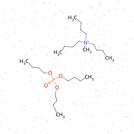 CCCCOP(=O)(OCCCC)OCCCC.CCCC[N+](C)(CCCC)CCCC